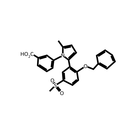 Cc1ccc(-c2cc(S(C)(=O)=O)ccc2OCc2ccccc2)n1-c1cccc(C(=O)O)c1